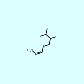 CC(C)C(C)CS/C=N\N